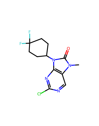 Cn1c(=O)n(C2CCC(F)(F)CC2)c2nc(Cl)ncc21